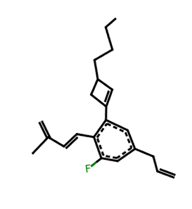 C=CCc1cc(F)c(/C=C/C(=C)C)c(C2=CC(CCCC)C2)c1